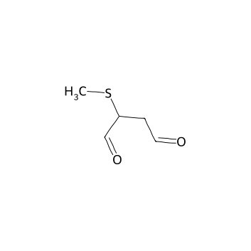 CSC(C=O)CC=O